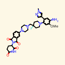 COc1cc(N2CCC(F)(CN3CCN(c4ccc5c(c4)C(=O)N(C4CCC(=O)NC4=O)C5=O)CC3)CC2)c(-c2cnn(C)c2)cc1N